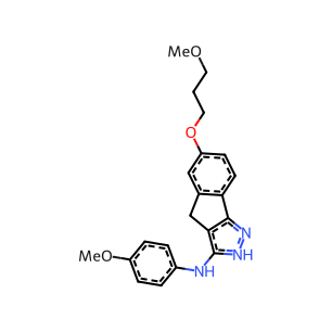 COCCCOc1ccc2c(c1)Cc1c-2n[nH]c1Nc1ccc(OC)cc1